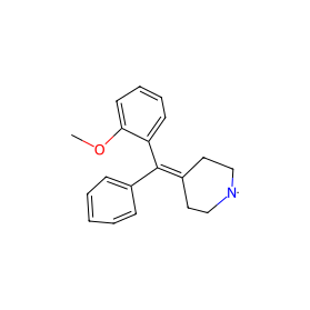 COc1ccccc1C(=C1CC[N]CC1)c1ccccc1